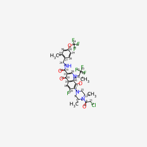 COc1c(N2C[C@@H](C)N(C(=O)CCl)[C@@H](C)C2)c(F)cc2c(=O)c(C(=O)NCc3ccc(OC(F)(F)F)cc3C)cn(CC(F)(F)F)c12